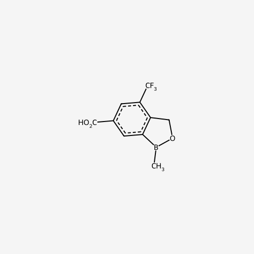 CB1OCc2c1cc(C(=O)O)cc2C(F)(F)F